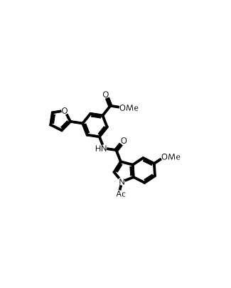 COC(=O)c1cc(NC(=O)c2cn(C(C)=O)c3ccc(OC)cc23)cc(-c2ccco2)c1